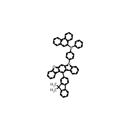 CC1(C)c2ccccc2-c2ccc(-c3c4c(cc5c3c3ccccc3n5-c3ccc(N(c5ccccc5)c5cc6ccccc6c6ccccc56)cc3)oc3ccccc34)cc21